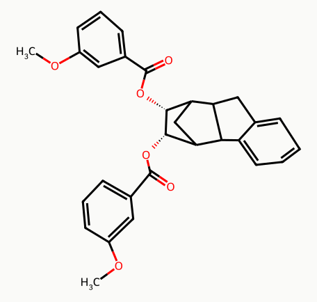 COc1cccc(C(=O)O[C@@H]2C3CC(C4c5ccccc5CC43)[C@@H]2OC(=O)c2cccc(OC)c2)c1